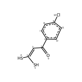 O=C(C=C(S)S)c1ccc(Cl)cc1